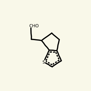 O=CCC1CCc2ccsc21